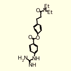 CCN(CC)C(=O)CCc1ccc(OC(=O)c2ccc(NC(=N)N)cc2)cc1